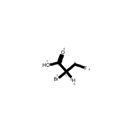 [2H]C(Br)(CF)C(=O)O